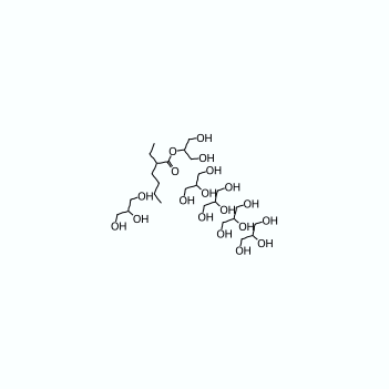 CCCCC(CC)C(=O)OC(CO)CO.OCC(O)CO.OCC(O)CO.OCC(O)CO.OCC(O)CO.OCC(O)CO